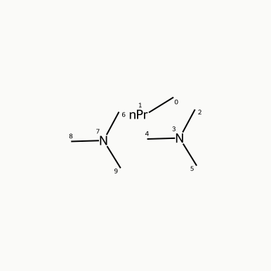 CCCC.CN(C)C.CN(C)C